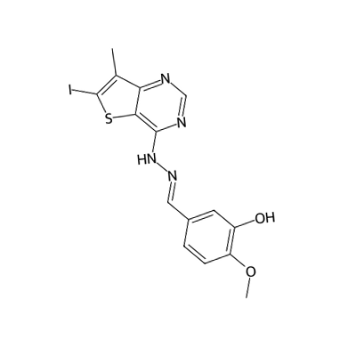 COc1ccc(C=NNc2ncnc3c(C)c(I)sc23)cc1O